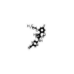 COCOc1cc(F)cc(OC)c1-c1cc(Nc2cnc(C#N)cn2)n[nH]1